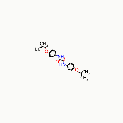 C=C(C)COc1ccc(NC(=O)C(=O)Nc2ccc(OCC(=C)C)cc2)cc1